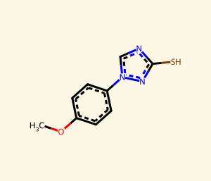 COc1ccc(-n2cnc(S)n2)cc1